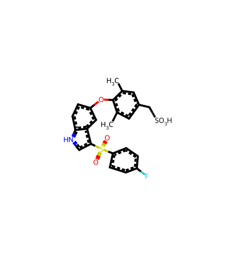 Cc1cc(CS(=O)(=O)O)cc(C)c1Oc1ccc2[nH]cc(S(=O)(=O)c3ccc(F)cc3)c2c1